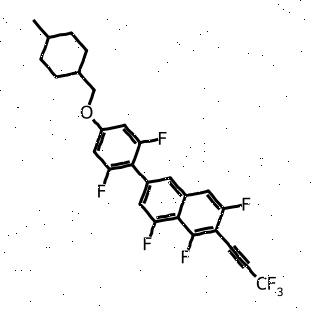 CC1CCC(COc2cc(F)c(-c3cc(F)c4c(F)c(C#CC(F)(F)F)c(F)cc4c3)c(F)c2)CC1